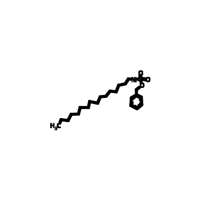 CCCCCCCCCCCCCCC[CH2][Ni][S](=O)(=O)OCc1ccccc1